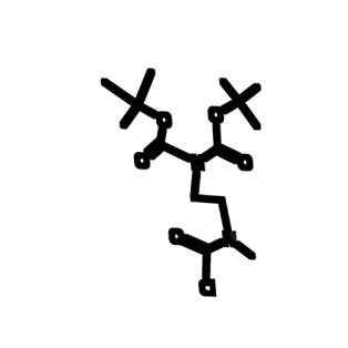 CN(CCN(C(=O)OC(C)(C)C)C(=O)OC(C)(C)C)C(=O)Cl